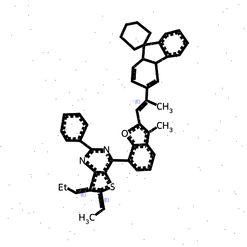 C/C=c1/sc2c(-c3cccc4c(C)c(/C=C(\C)C5=CC6c7ccccc7C7(CCCCC7)C6C=C5)oc34)nc(-c3ccccc3)nc2/c1=C\CC